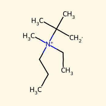 [CH2]C(C)(C)[N+](C)(CC)CCC